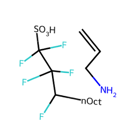 C=CCN.CCCCCCCCC(F)C(F)(F)C(F)(F)S(=O)(=O)O